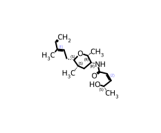 C=C/C(C)=C/C[C@@H]1O[C@H](C)[C@H](NC(=O)/C=C\[C@H](C)O)C[C@@H]1C